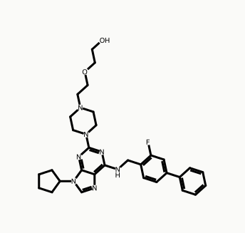 OCCOCCN1CCN(c2nc(NCc3ccc(-c4ccccc4)cc3F)c3ncn(C4CCCC4)c3n2)CC1